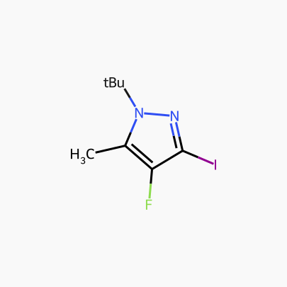 Cc1c(F)c(I)nn1C(C)(C)C